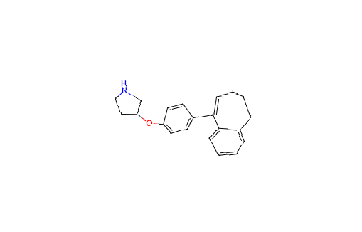 C1=C(c2ccc(OC3CCNC3)cc2)c2ccccc2CCC1